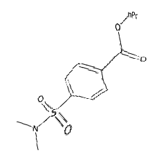 CCCOC(=O)c1ccc(S(=O)(=O)N(C)C)cc1